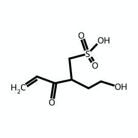 C=CC(=O)C(CCO)CS(=O)(=O)O